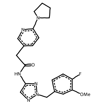 COc1cc(Cn2ncc(NC(=O)Cc3ccc(N4CCCC4)nc3)n2)ccc1F